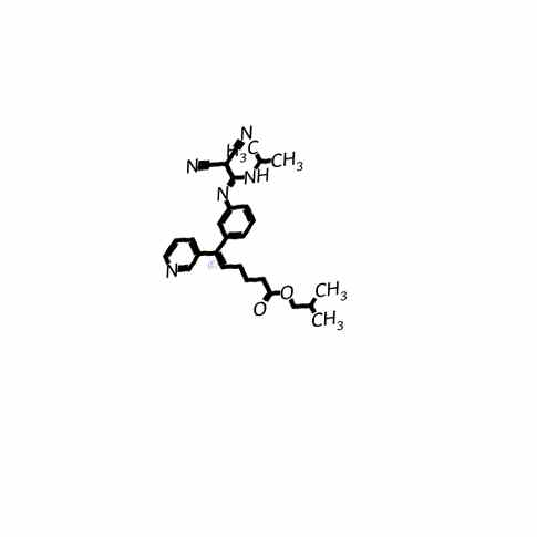 CC(C)COC(=O)CCC/C=C(/c1cccnc1)c1cccc(N=C(NC(C)C)C(C#N)C#N)c1